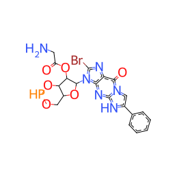 NCC(=O)OC1C2OPOCC2OC1n1c(Br)nc2c(=O)n3cc(-c4ccccc4)[nH]c3nc21